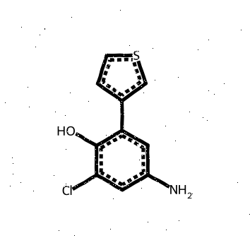 Nc1cc(Cl)c(O)c(-c2ccsc2)c1